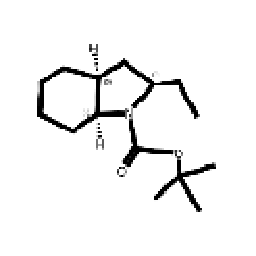 CC[C@@H]1C[C@@H]2CCCC[C@@H]2N1C(=O)OC(C)(C)C